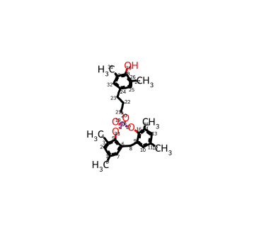 Cc1cc(C)c2c(c1)Cc1cc(C)cc(C)c1OP(=O)(OCCCc1cc(C)c(O)c(C)c1)O2